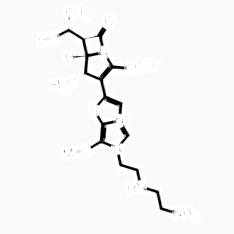 CSc1c2sc(C3=C(C(=O)[O-])N4C(=O)[C@H]([C@@H](C)O)[C@H]4[C@H]3C)c[n+]2cn1CCNCCN